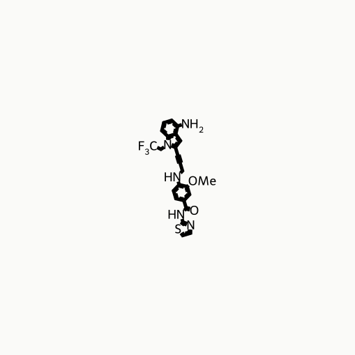 COc1cc(C(=O)Nc2nccs2)ccc1NCC#Cc1cc2c(N)cccc2n1CC(F)(F)F